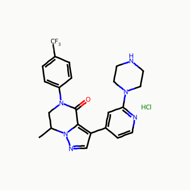 CC1CN(c2ccc(C(F)(F)F)cc2)C(=O)c2c(-c3ccnc(N4CCNCC4)c3)cnn21.Cl